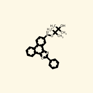 CC(C)(O)C(C)(C)OBc1ccc2c3ccccc3c3oc(-c4ccccc4)nc3c2c1